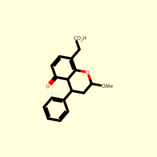 COC1CC(c2ccccc2)C2C(=O)C=CC(CC(=O)O)=C2O1